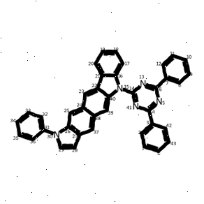 c1ccc(-c2nc(-c3ccccc3)nc(-n3c4ccccc4c4cc5cc6c(ccn6-c6ccccc6)cc5cc43)n2)cc1